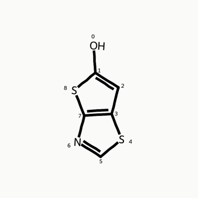 Oc1cc2scnc2s1